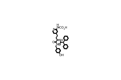 O=C(O)Nc1cc(CCC(NC(=O)C(c2ccccc2)c2ccccc2)C(=O)NCc2ccc(O)cc2)ccn1